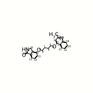 Cc1cc(OCCCCOc2cccc3c2CNC3=O)c2ccccc2n1